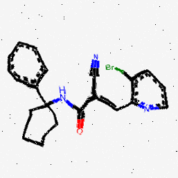 N#C/C(=C\c1ncccc1Br)C(=O)NC1(c2ccccc2)CCCC1